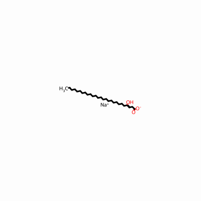 CCCCCCCCCCCCCCCCCCCCCCCC(O)=CCC(=O)[O-].[Na+]